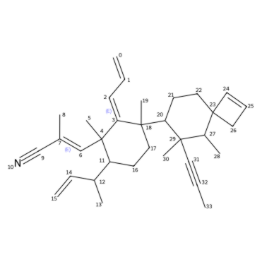 C=C/C=C1/C(C)(/C=C(\C)C#N)C(C(C)C=C)CCC1(C)C1CCC2(C=CC2)C(C)C1(C)C#CC